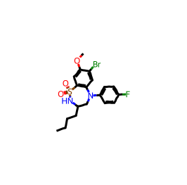 CCCCC1CN(c2ccc(F)cc2)c2cc(Br)c(OC)cc2S(=O)(=O)N1